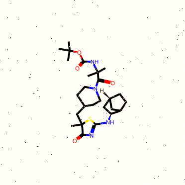 CC(C)(C)OC(=O)NC(C)(C)C(=O)N1CCC(CC2(C)SC(N[C@H]3C[C@@H]4CCC3C4)=NC2=O)CC1